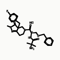 CN1N=C2CCN(C(=O)[C@@H](COCc3ccccc3)NC(=O)C(C)(C)N)CC2(Cc2ccc(F)cc2)C1=O.Cl